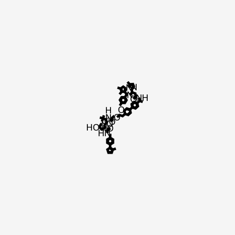 CC1=C(c2ccc(CNC(=O)[C@@H]3CC(O)CN3C(=O)[C@@H](NC(=O)COCCC3C=CC(c4ccc(C(C)NC(=O)CC5N=C(c6ccc(C)cc6)C6=C(CC(C)=C6C)n6c(C)cnc65)cc4)=CC3=O)C(C)(C)C)cc2)CC=C1